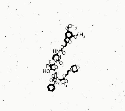 COc1cc(OC)c2oc(COC(=O)Nc3ccn([C@@H]4O[C@H](COP(=O)(N[C@@H](C)C(=O)OCCN5CCOCC5)Oc5ccccc5)[C@@H](O)C4(F)F)c(=O)n3)cc2c1